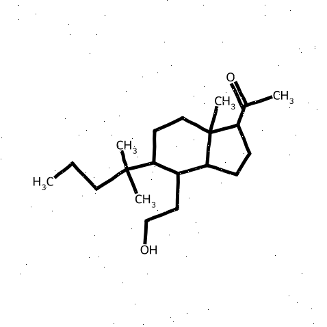 CCCC(C)(C)C1CCC2(C)C(C(C)=O)CCC2C1CCO